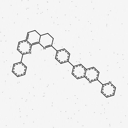 C1=c2ccc(-c3ccccc3)nc2=C2N=C(c3ccc(-c4ccc5nc(-c6ccccn6)ccc5c4)cc3)CCC2C1